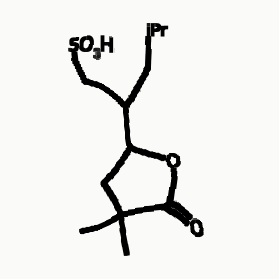 CC(C)CC(CS(=O)(=O)O)C1CC(C)(C)C(=O)O1